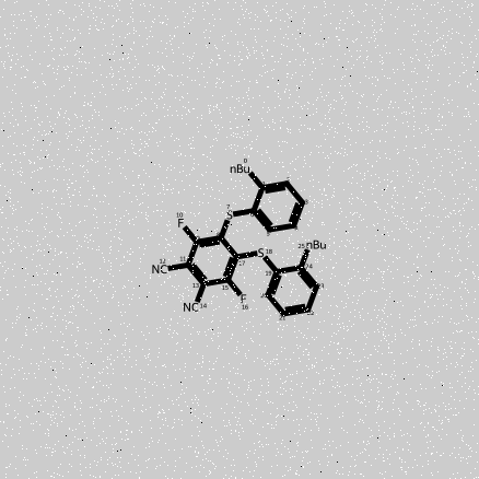 CCCCc1ccccc1Sc1c(F)c(C#N)c(C#N)c(F)c1Sc1ccccc1CCCC